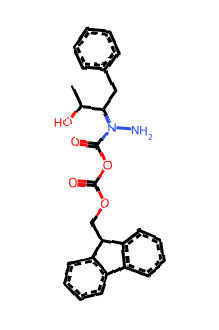 CC(O)C(Cc1ccccc1)N(N)C(=O)OC(=O)OCC1c2ccccc2-c2ccccc21